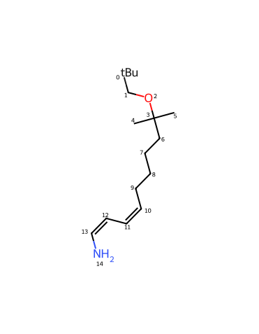 CC(C)(C)COC(C)(C)CCCC/C=C\C=C/N